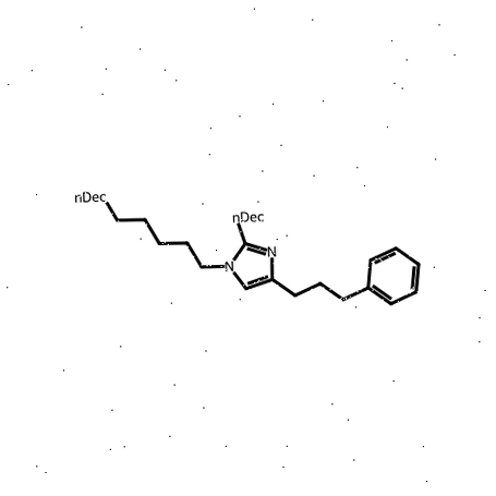 CCCCCCCCCCCCCCCn1cc(CCCc2ccccc2)nc1CCCCCCCCCC